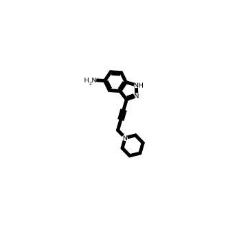 Nc1ccc2[nH]nc(C#CCN3CCCCC3)c2c1